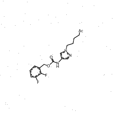 CC(=O)CCCCn1cc(NC(=O)OCc2cccc(F)c2F)cn1